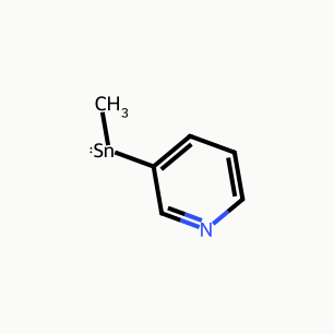 [CH3][Sn][c]1cccnc1